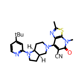 Cc1nc2c(N3CC[C@H]4[C@H](CCN4c4cc(C(C)(C)C)ccn4)C3)c(C#N)c(=O)n(C)c2s1